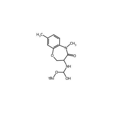 Cc1ccc2c(c1)OCC(NC(O)OC(C)(C)C)C(=O)N2C